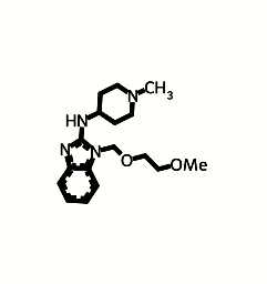 COCCOCn1c(NC2CCN(C)CC2)nc2ccccc21